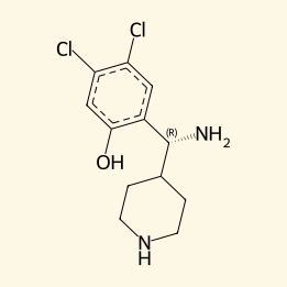 N[C@@H](c1cc(Cl)c(Cl)cc1O)C1CCNCC1